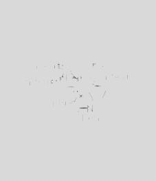 CCCCCC(=Nc1ccc(CCCCC)c(CCCCC)c1)C(CCCC)=Nc1ccc(CCCCC)c(CCCCC)c1.[Pd]